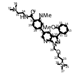 CNc1cc(-c2cnc3c(c2)c(-c2ccccc2OC)nn3COCC[Si](C)(C)C)ccc1C(=O)NCCN(C)C